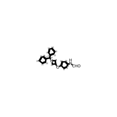 O=CNc1ccc(OC2CN(C(c3ccccc3)c3ccccc3)C2)cc1